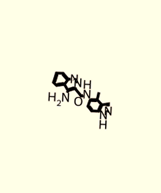 Cc1c(NC(=O)c2nnc3ccccc3c2N)ccc2[nH]ncc12